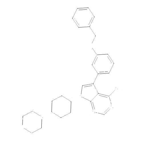 Nc1ncnc2c1c(-c1cccc(OCc3ccccc3)c1)cn2[C@H]1CC[C@@H](N2CCSCC2)CC1